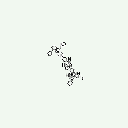 CC(C)(CSc1ccccc1)Nc1ccc(S(=O)(=O)Nc2ncnc3cc(N4CCC(Cc5ccccc5-c5ccccc5)(OCCN5CCCC5)CC4)ccc23)cc1[N+](=O)[O-]